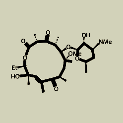 CC[C@H]1OC(=O)[C@H](C)C(=O)[C@H](C)[C@@H](O[C@@H]2O[C@H](C)C[C@H](NC)[C@H]2O)[C@](C)(OC)C[C@@H](C)C(=O)/C(C)=C/[C@]1(C)O